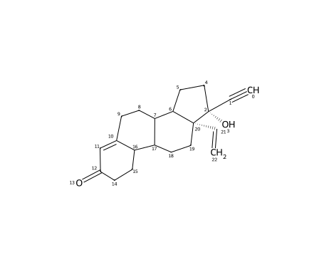 C#C[C@]1(O)CCC2C3CCC4=CC(=O)CCC4C3CC[C@@]21C=C